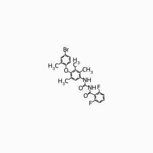 Cc1cc(Br)ccc1Oc1c(C)cc(NC(=O)NC(=O)c2c(F)cccc2F)c(C)c1C